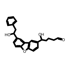 O=CCCCC(O)c1ccc2oc3ccc(C(O)Cc4ccccc4)cc3c2c1